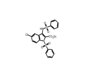 CCOC(=O)c1c(NS(=O)(=O)c2ccccc2)c2cc(Cl)ccc2n1S(=O)(=O)c1ccccc1